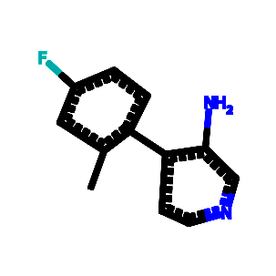 Cc1cc(F)ccc1-c1ccncc1N